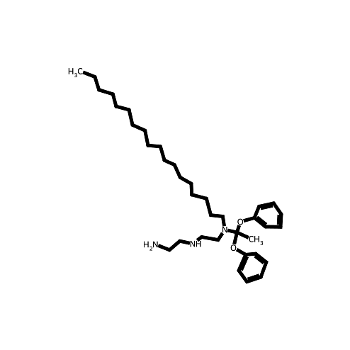 CCCCCCCCCCCCCCCCCCN(CCNCCN)C(C)(Oc1ccccc1)Oc1ccccc1